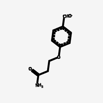 NC(=O)CCOc1ccc([C]=O)cc1